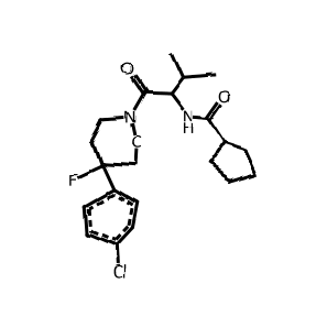 CC(C)C(NC(=O)C1CCCC1)C(=O)N1CCC(F)(c2ccc(Cl)cc2)CC1